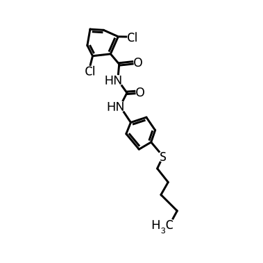 CCCCCSc1ccc(NC(=O)NC(=O)c2c(Cl)cccc2Cl)cc1